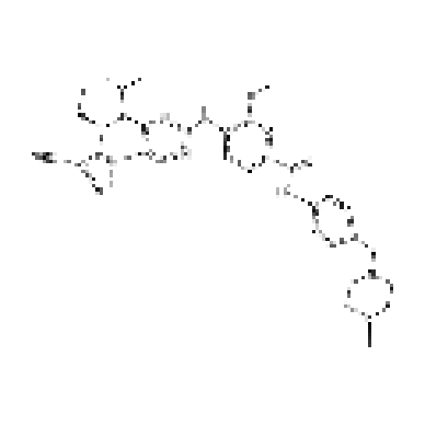 CC[C@@H]1c2c(C#N)ncn2-c2cnc(Nc3ccc(C(=O)Nc4ccc(CN5CCN(C)CC5)cc4)cc3OC)nc2N1C(C)C